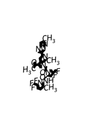 CC(=O)c1cn(CC(=O)N2C[C@@](F)(CF)C[C@H]2C(=O)Nc2nc(C(F)(F)F)ccc2C)c2c(C)nc(-c3cnc4cc(C)nn4c3)cc12